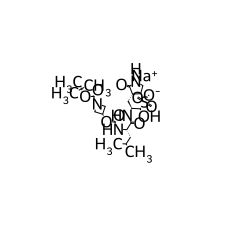 CC(C)C[C@H](NC(=O)OC1CN(C(=O)OC(C)(C)C)C1)C(=O)N[C@@H](C[C@H]1CCNC1=O)C(O)S(=O)(=O)[O-].[Na+]